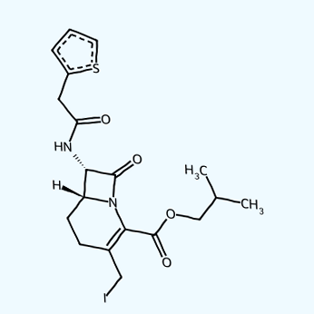 CC(C)COC(=O)C1=C(CI)CC[C@@H]2[C@H](NC(=O)Cc3cccs3)C(=O)N12